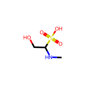 CNC(CO)S(=O)(=O)O